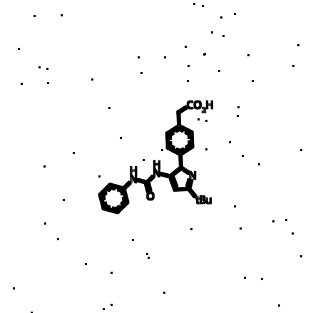 CC(C)(C)C1=NC(c2ccc(CC(=O)O)cc2)C(NC(=O)Nc2ccccc2)=C1